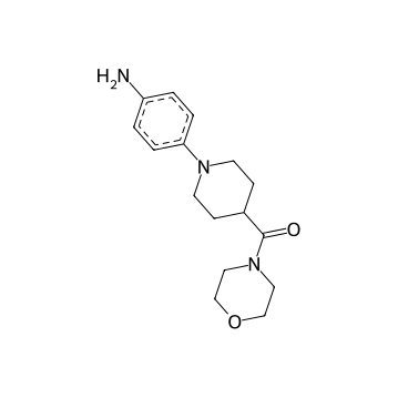 Nc1ccc(N2CCC(C(=O)N3CCOCC3)CC2)cc1